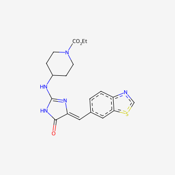 CCOC(=O)N1CCC(NC2=N/C(=C\c3ccc4ncsc4c3)C(=O)N2)CC1